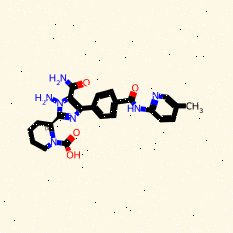 Cc1ccc(NC(=O)c2ccc(-c3nc([C@@H]4CCCCN4C(=O)O)n(N)c3C(N)=O)cc2)nc1